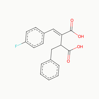 O=C(O)/C(=C/c1ccc(F)cc1)C(Cc1ccccc1)C(=O)O